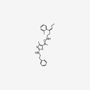 CC/C=C(/CCNOB(C)c1sc(NCCc2ccccc2)nc1C)c1ccccc1C